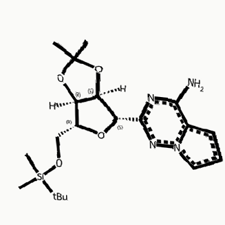 CC1(C)O[C@@H]2[C@H](O1)[C@@H](CO[Si](C)(C)C(C)(C)C)O[C@H]2c1nc(N)c2cccn2n1